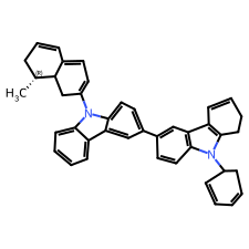 C[C@@H]1CC=CC2=CC=C(n3c4ccccc4c4cc(-c5ccc6c(c5)c5c(n6C6C=CC=CC6)CCC=C5)ccc43)CC21